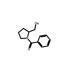 O=C(c1ccccc1)N1CCCC1CO